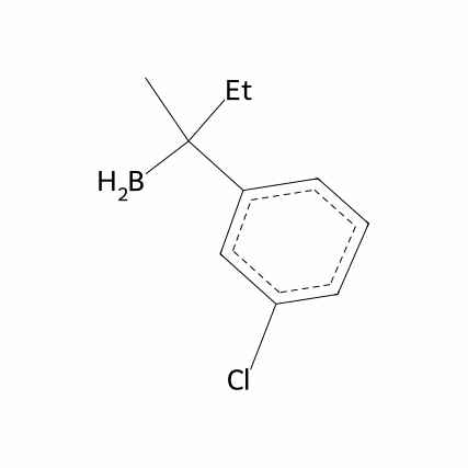 BC(C)(CC)c1cccc(Cl)c1